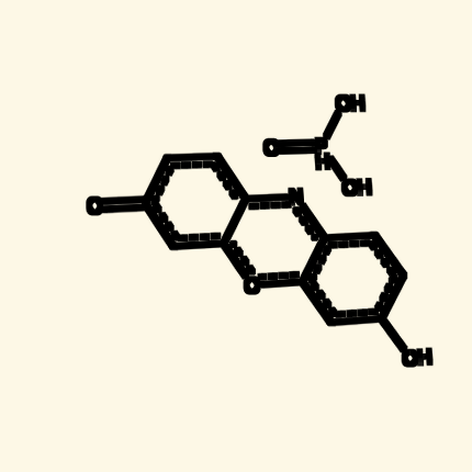 O=[PH](O)O.O=c1ccc2nc3ccc(O)cc3oc-2c1